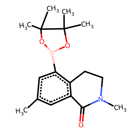 Cc1cc(B2OC(C)(C)C(C)(C)O2)c2c(c1)C(=O)N(C)CC2